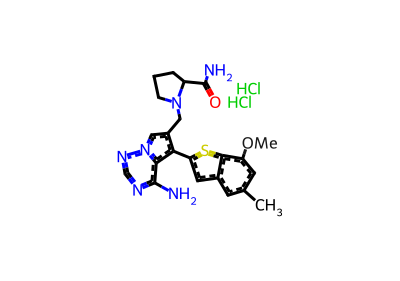 COc1cc(C)cc2cc(-c3c(CN4CCCC4C(N)=O)cn4ncnc(N)c34)sc12.Cl.Cl